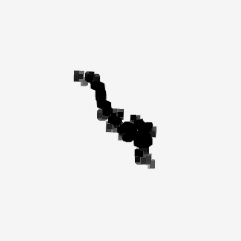 CCOc1cc(-c2ccc(NCCNC(=O)CCC#CCCOC)nc2)c2c(C#N)cnn2c1